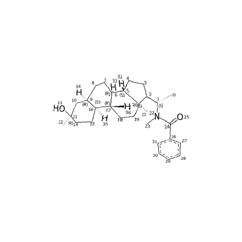 C[C@@H](C1CC[C@H]2[C@@H]3CC[C@@H]4C[C@](C)(O)CC[C@@H]4[C@H]3CC[C@]12C)N(C)C(=O)c1ccccc1